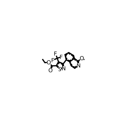 CCOC(=O)c1snc(-c2cccc3c(OC)nccc23)c1C(F)(F)F